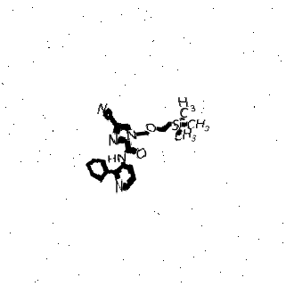 C[Si](C)(C)CCOCn1cc(C#N)nc1C(=O)Nc1cccnc1C1=CCCCC1